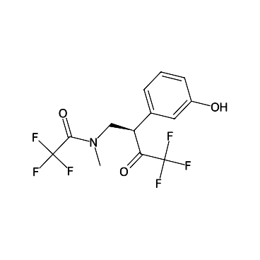 CN(C[C@H](C(=O)C(F)(F)F)c1cccc(O)c1)C(=O)C(F)(F)F